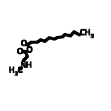 CCCCCCCCCCCCCC(=O)OC(=O)CCNC